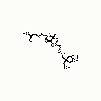 CC(SSSSCC(=O)O)(SSSSOCC(CO)(CO)CO)C(=O)O